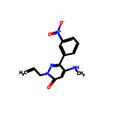 C=CCn1nc(-c2cccc([N+](=O)[O-])c2)c(NC)cc1=O